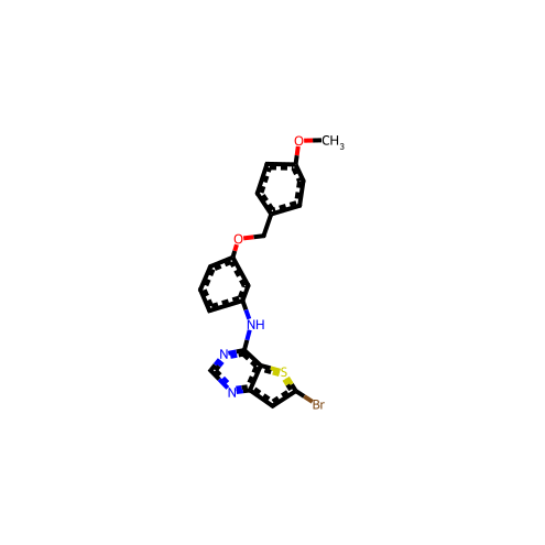 COc1ccc(COc2cccc(Nc3ncnc4cc(Br)sc34)c2)cc1